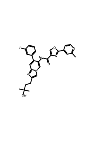 Cc1cc(-c2nc(C(=O)Nc3cn4cc(CCC(C)(C)O)nc4cc3-c3cccc(F)c3)co2)ccn1